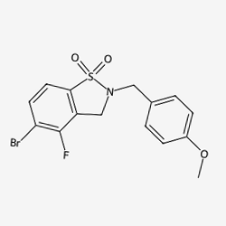 COc1ccc(CN2Cc3c(ccc(Br)c3F)S2(=O)=O)cc1